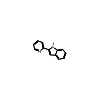 c1ccc(-c2cc3ccccc3[nH]2)nc1